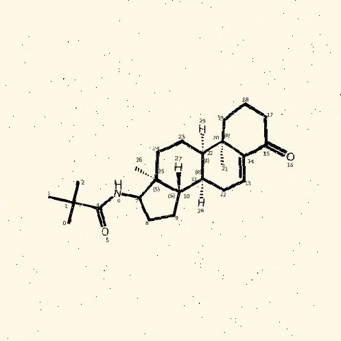 CC(C)(C)C(=O)NC1CC[C@H]2[C@@H]3CC=C4C(=O)CCC[C@]4(C)[C@@H]3CC[C@]12C